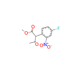 COC(=O)C(C(C)=O)c1ccc(F)cc1[N+](=O)[O-]